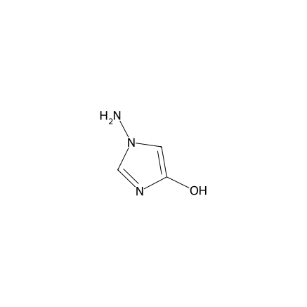 Nn1cnc(O)c1